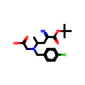 CC(CC(=N)C(=O)OC(C)(C)C)N(CC(=O)O)Cc1ccc(Cl)cc1